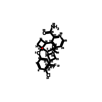 CC(=O)NC1(Oc2ccc(Cl)c(F)c2)C2CC1(c1c(N3CC(O)C3)ccnc1C(N)=O)C2